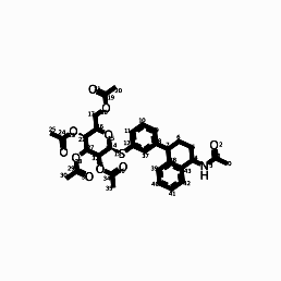 CC(=O)NC1CCC(c2cccc(S[C@@H]3OC(COC(C)=O)[C@@H](OC(C)=O)C(OC(C)=O)C3OC(C)=O)c2)c2ccccc21